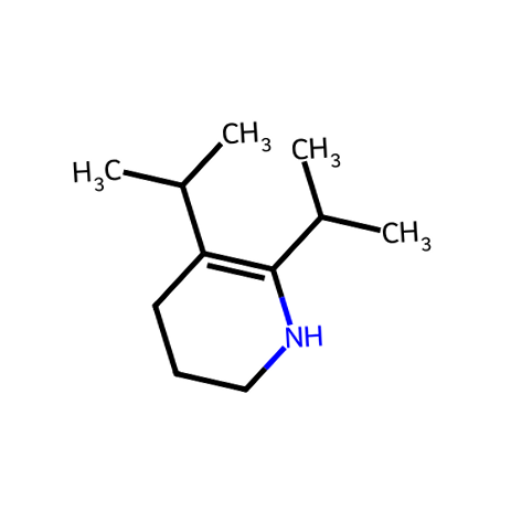 CC(C)C1=C(C(C)C)NCCC1